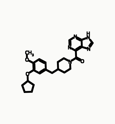 COc1ccc(CC2CCN(C(=O)c3ncnc4[nH]cnc34)CC2)cc1OC1CCCC1